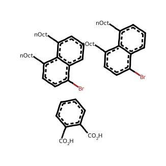 CCCCCCCCc1cccc2c(Br)ccc(CCCCCCCC)c12.CCCCCCCCc1cccc2c(Br)ccc(CCCCCCCC)c12.O=C(O)c1ccccc1C(=O)O